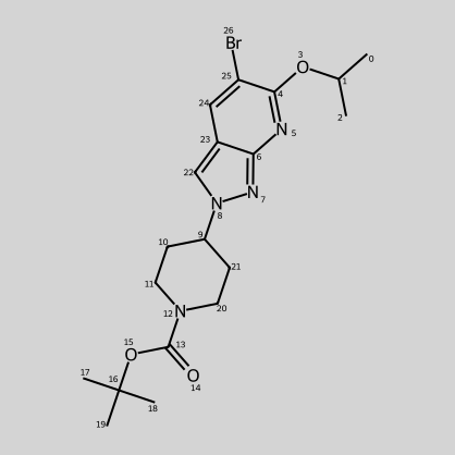 CC(C)Oc1nc2nn(C3CCN(C(=O)OC(C)(C)C)CC3)cc2cc1Br